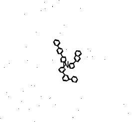 c1ccc(-c2ccc(-c3ccc(N(c4cccc(-c5cccc(-c6ccccc6)c5)c4)c4cccc(-c5ccc6ccccc6c5)c4)cc3)cc2)cc1